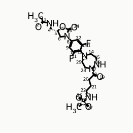 CC(=O)NC[C@H]1CN(c2cc(F)c(N3CCNN(C(=O)CCCNS(C)(=O)=O)CC3)c(F)c2)C(=O)O1